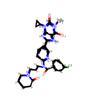 CCCn1c(=O)c2[nH]c(-c3ccc(N(CCCN4CCCCC4=O)C(=O)c4ccc(F)cc4)nc3)nc2n(C2CC2)c1=O